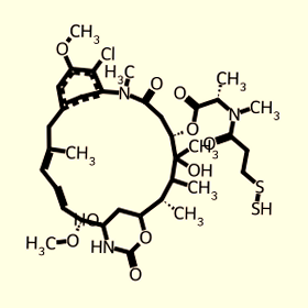 COc1cc2cc(c1Cl)N(C)C(=O)C[C@H](OC(=O)[C@H](C)N(C)C(=O)CCSS)C(C)(O)C(C)[C@H](C)C1C[C@@](O)(NC(=O)O1)[C@H](OC)/C=C/C=C(\C)C2